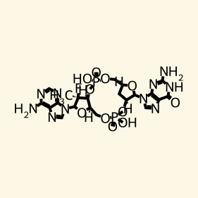 C[C@@]1(F)C(n2cnc3c(N)ncnc32)O[C@@H]2COP(=O)(O)O[C@@H]3C[C@@H](COP(=O)(O)O[C@H]21)OC3n1cnc2c(=O)[nH]c(N)nc21